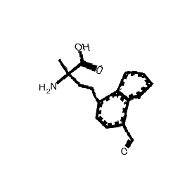 CC(N)(CCc1ccc(C=O)c2ccccc12)C(=O)O